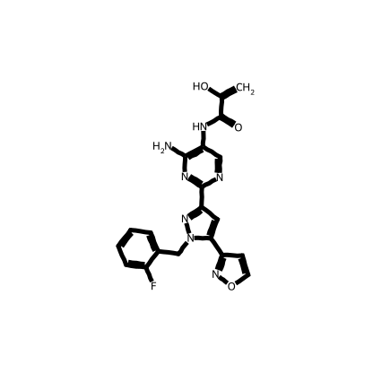 C=C(O)C(=O)Nc1cnc(-c2cc(-c3ccon3)n(Cc3ccccc3F)n2)nc1N